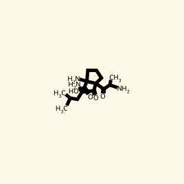 CC(C)CC(N)C(=O)C1(C(=O)C(C)N)CCCC1(N)C(=O)O